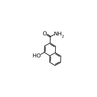 NC(=O)c1cc(O)c2ccccc2c1